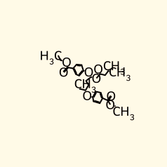 CCOC(=O)c1ccc(OC(CC)CCC(OC(=O)CC(C)C)Oc2ccc(C(=O)OCC)cc2)cc1